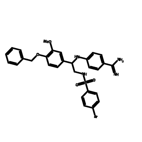 COc1cc(C(CNS(=O)(=O)c2ccc(Br)cc2)Nc2ccc(C(=N)N)cc2)ccc1OCc1ccccc1